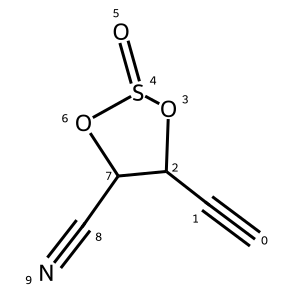 C#CC1OS(=O)OC1C#N